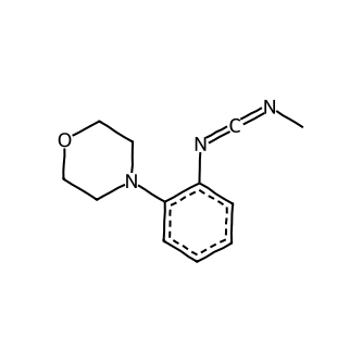 CN=C=Nc1ccccc1N1CCOCC1